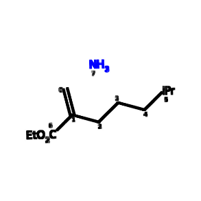 C=C(CCCC(C)C)C(=O)OCC.N